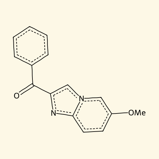 COc1ccc2nc(C(=O)c3ccccc3)cn2c1